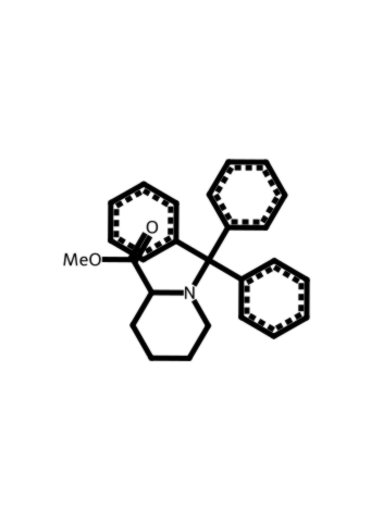 COC(=O)C1CCCCN1C(c1ccccc1)(c1ccccc1)c1ccccc1